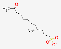 CC(=O)CCCCCCCCCCS(=O)(=O)[O-].[Na+]